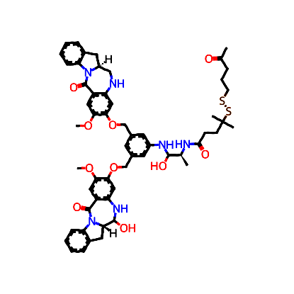 COc1cc2c(cc1OCc1cc(COc3cc4c(cc3OC)C(=O)N3c5ccccc5C[C@H]3C(O)N4)cc(NC(O)[C@H](C)NC(=O)CCC(C)(C)SSCCCC(C)=O)c1)NC[C@@H]1Cc3ccccc3N1C2=O